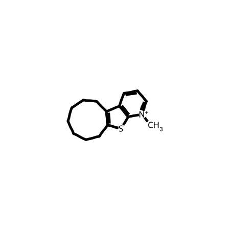 C[n+]1cccc2c3c(sc21)CCCCCCC3